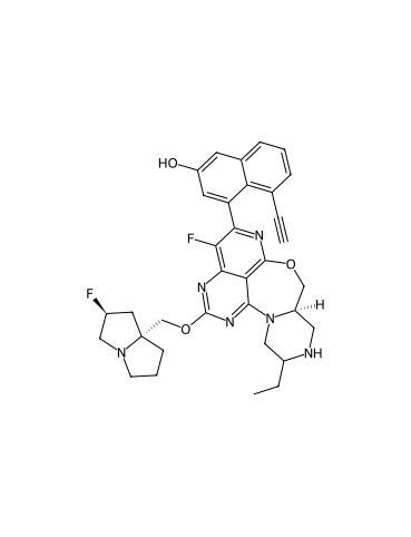 C#Cc1cccc2cc(O)cc(-c3nc4c5c(nc(OC[C@]67CCCN6C[C@@H](F)C7)nc5c3F)N3CC(CC)NC[C@@H]3CO4)c12